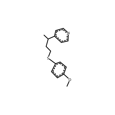 COc1ccc(SCCC(C)c2ccncc2)cc1